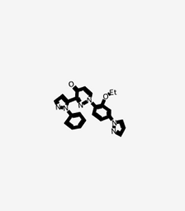 CCOc1cc(-n2cccn2)ccc1-n1ccc(=O)c(-c2ccnn2-c2ccccc2)n1